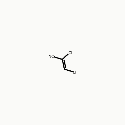 N#CC(Cl)=CCl